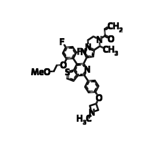 C=CC(=O)N1CCn2nc(-c3nc(-c4ccc(OC5CN(C)C5)cc4)c4ccsc4c3-c3c(F)cc(F)cc3OCCOC)cc2C1C